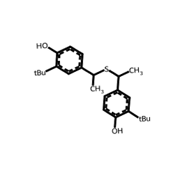 CC(SC(C)c1ccc(O)c(C(C)(C)C)c1)c1ccc(O)c(C(C)(C)C)c1